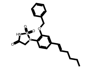 CCCCC=Cc1ccc(N2CC(=O)NS2(=O)=O)c(OCc2ccccc2)c1